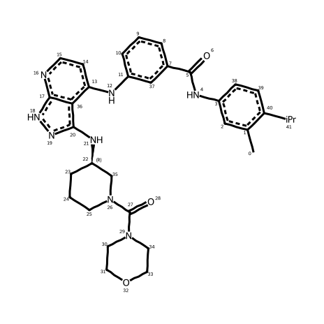 Cc1cc(NC(=O)c2cccc(Nc3ccnc4[nH]nc(N[C@@H]5CCCN(C(=O)N6CCOCC6)C5)c34)c2)ccc1C(C)C